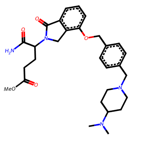 COC(=O)CCC(C(N)=O)N1Cc2c(OCc3ccc(CN4CCC(N(C)C)CC4)cc3)cccc2C1=O